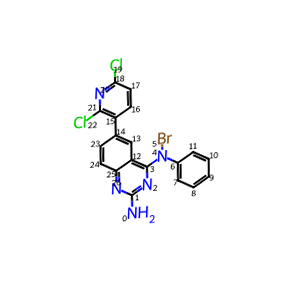 Nc1nc(N(Br)c2ccccc2)c2cc(-c3ccc(Cl)nc3Cl)ccc2n1